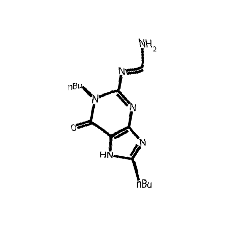 CCCCc1nc2nc(N=CN)n(CCCC)c(=O)c2[nH]1